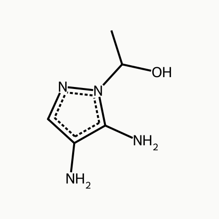 CC(O)n1ncc(N)c1N